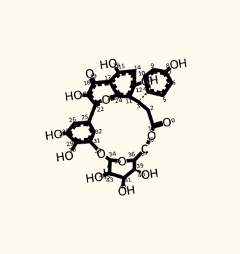 O=C1C[C@@H](c2ccc(O)cc2)c2c(O)cc(O)c3c(=O)c(O)c(oc23)-c2cc(O)c(O)c(c2)O[C@@H]2OC(CO1)[C@@H](O)C(O)C2O